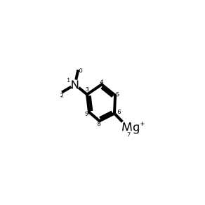 CN(C)c1cc[c]([Mg+])cc1